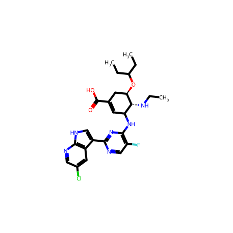 CCN[C@@H]1C(Nc2nc(-c3c[nH]c4ncc(Cl)cc34)ncc2F)C=C(C(=O)O)C[C@H]1OC(CC)CC